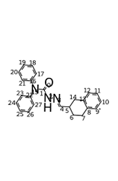 O=C(NN=CC1CCc2[c]cccc2C1)N(c1ccccc1)c1ccccc1